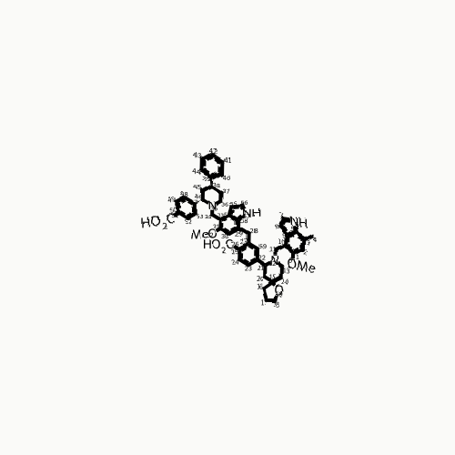 COc1cc(C)c2[nH]ccc2c1CN1CCC2(CCCO2)CC1c1ccc(C(=O)O)c(Cc2cc(OC)c(CN3CC[C@H](c4ccccc4)C[C@H]3c3ccc(C(=O)O)cc3)c3cc[nH]c23)c1